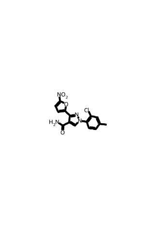 Cc1ccc(-n2cc(C(N)=O)c(-c3ccc([N+](=O)[O-])o3)n2)c(Cl)c1